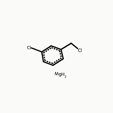 ClCc1cccc(Cl)c1.[MgH2]